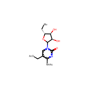 CCC(C)C[C@H]1OC(n2cc(COC(C)=O)c(NC(C)=O)nc2=O)[C@H](O)[C@@H]1O